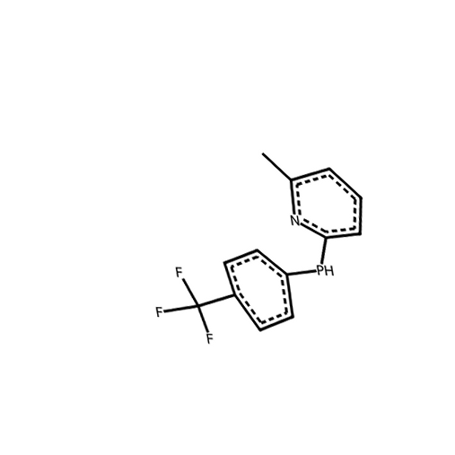 Cc1cccc(Pc2ccc(C(F)(F)F)cc2)n1